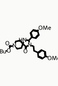 COc1ccc(CCN2C(=O)C3(CCN(C(=O)OC(C)(C)C)CC3)NC2c2ccc(OC)cc2)cc1